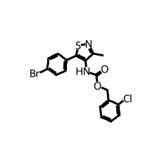 Cc1nsc(-c2ccc(Br)cc2)c1NC(=O)OCc1ccccc1Cl